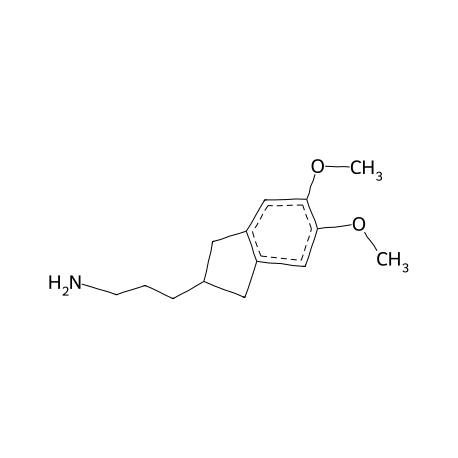 COc1cc2c(cc1OC)CC(CCCN)C2